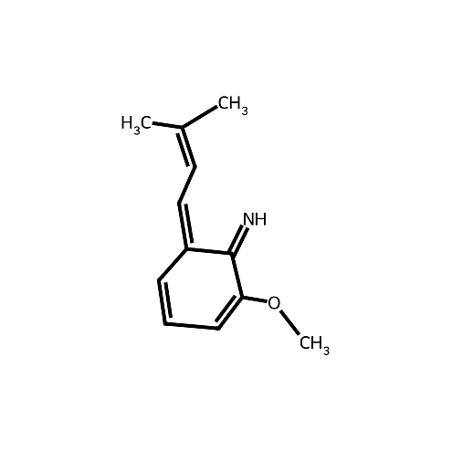 COC1=CC=C/C(=C/C=C(C)C)C1=N